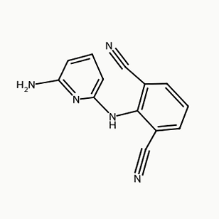 N#Cc1cccc(C#N)c1Nc1cccc(N)n1